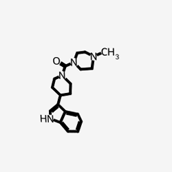 CN1CCN(C(=O)N2CCC(c3c[nH]c4ccccc34)CC2)CC1